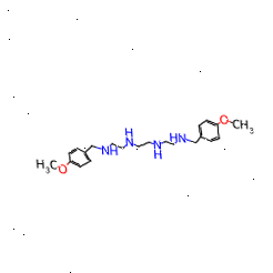 COc1ccc(CNCCNCCNCCNCc2ccc(OC)cc2)cc1